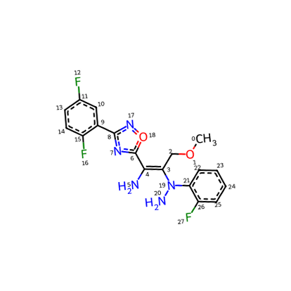 COC/C(=C(/N)c1nc(-c2cc(F)ccc2F)no1)N(N)c1ccccc1F